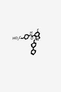 O=C(O)CC1CCC(NC(=O)c2cc(F)cc3cnn(Cc4ccc(-c5ccccc5)cc4)c23)CC1